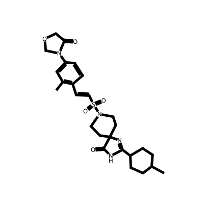 Cc1cc(N2COCC2=O)ccc1C=CS(=O)(=O)N1CCC2(CC1)N=C(C1CCC(C)CC1)NC2=O